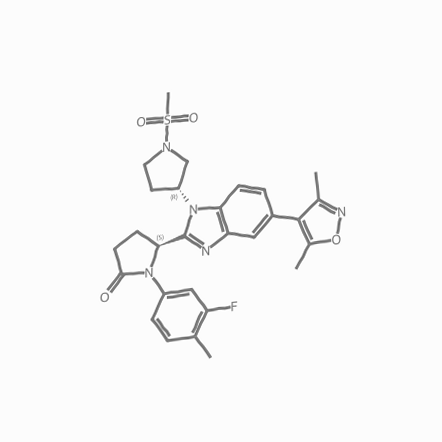 Cc1ccc(N2C(=O)CC[C@H]2c2nc3cc(-c4c(C)noc4C)ccc3n2[C@@H]2CCN(S(C)(=O)=O)C2)cc1F